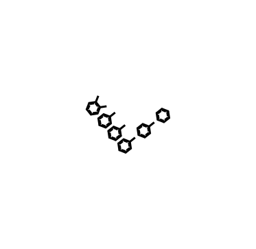 Cc1ccccc1.Cc1ccccc1.Cc1ccccc1.Cc1ccccc1.Cc1ccccc1C.c1ccccc1